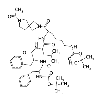 CC(=O)N1CCC2(C1)CN(C(=O)C(CCCCNC(=O)OC(C)(C)C)NC(=O)C(CC(C)C)NC(=O)C(Cc1ccccc1)NC(=O)C(Cc1ccccc1)NC(=O)OC(C)(C)C)C2